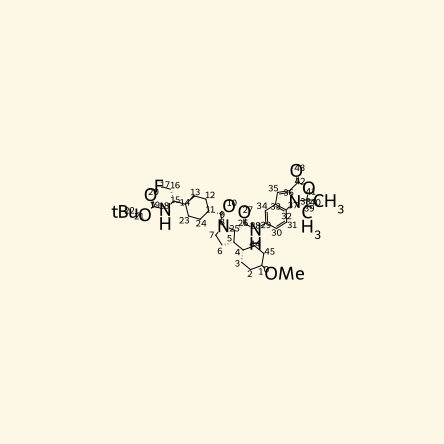 CO[C@H]1CC[C@H]([C@@H]2CCN(C(=O)[C@H]3CC[C@H]([C@@H](CF)NC(=O)OC(C)(C)C)CC3)[C@@H]2C(=O)Nc2ccc3c(c2)cc2n3C(C)(C)OC2=O)CC1